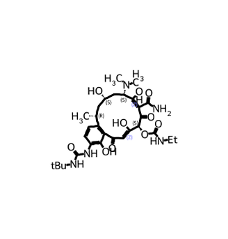 CCNC(=O)O[C@@H]1C(=O)/C(C(N)=O)=C(/O)[C@@H](N(C)C)C[C@@H](O)C[C@@H](C)c2ccc(NC(=O)NC(C)(C)C)c(O)c2C(=O)/C=C/1O